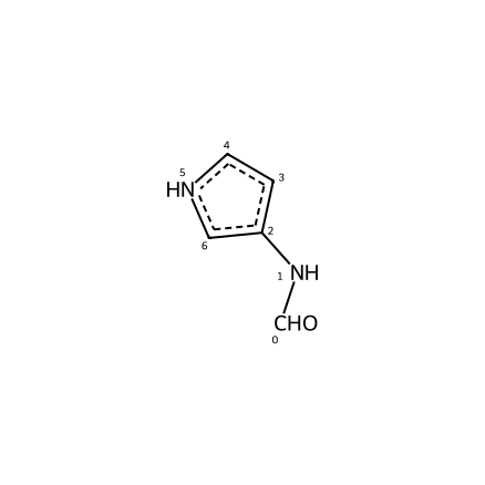 O=CNc1cc[nH]c1